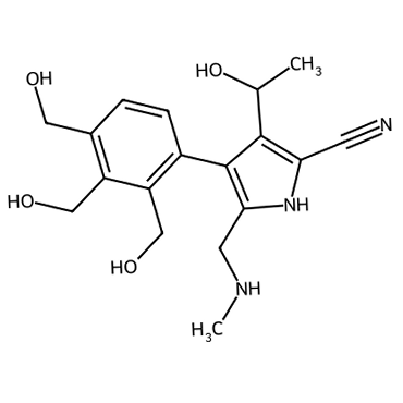 CNCc1[nH]c(C#N)c(C(C)O)c1-c1ccc(CO)c(CO)c1CO